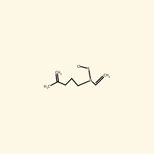 C=CN(CCCC(=C)C)SCl